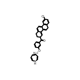 C1=CC=CNC=C1.COc1cccc(C(=O)C2C=c3c(ccc4c3=CCc3ccc(Cl)cc3-4)CC2)c1